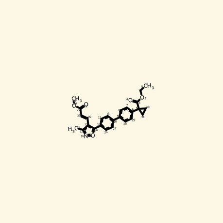 CCOC(=O)C1(c2ccc(-c3ccc(-c4onc(C)c4C=CC(=O)OC)cc3)cc2)CC1